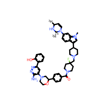 [2H]C1C=CN(c2ccc3c(C4CCN(CC5(F)CCN(C(=O)c6ccc(C7CN(c8cc(-c9ccccc9O)nnc8N)CCO7)cc6)CC5)CC4)cn(C)c3c2)[C@H]([2H])N1